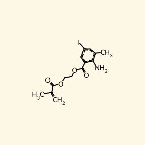 C=C(C)C(=O)OCCOC(=O)c1cc(I)cc(C)c1N